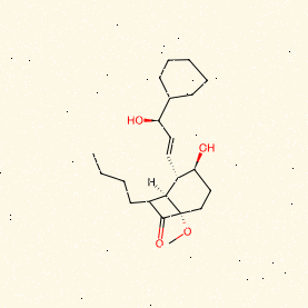 CCCCC1C(=O)[C@]2(OC)CC[C@H](O)[C@@H](/C=C/[C@@H](O)C3CCCCC3)[C@H]12